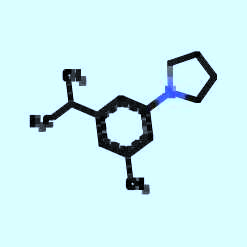 Cc1cc(C(C)C)cc(N2CCCC2)c1